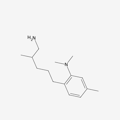 Cc1ccc(CCCC(C)CN)c(N(C)C)c1